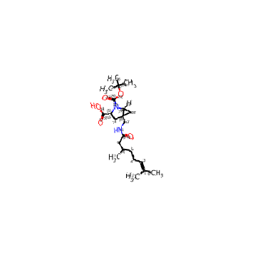 CC(C)=CCCC(C)CC(=O)NC[C@@]12C[C@@H](C(=O)O)N(C(=O)OC(C)(C)C)[C@@H]1C2